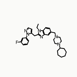 CCn1c(Cc2ccnn2-c2cccc(F)c2)nc2cc(CN3CCN(C4CCCCCC4)CC3)ccc21